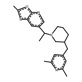 Cc1cc(CC2CCCN(C(C)c3cnc4oc(C)nc4c3)C2)cc(C)n1